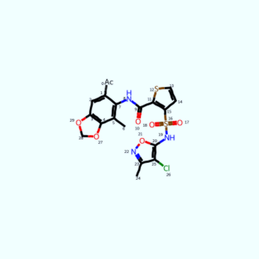 CC(=O)c1cc2c(c(C)c1NC(=O)c1sccc1S(=O)(=O)Nc1onc(C)c1Cl)OCO2